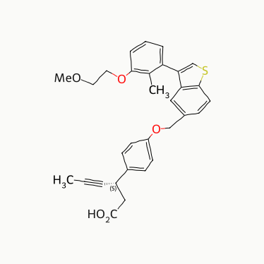 CC#C[C@@H](CC(=O)O)c1ccc(OCc2ccc3scc(-c4cccc(OCCOC)c4C)c3c2)cc1